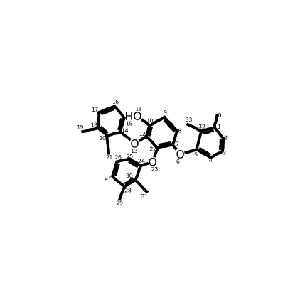 Cc1cccc(Oc2ccc(O)c(Oc3cccc(C)c3C)c2Oc2cccc(C)c2C)c1C